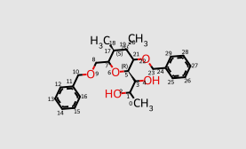 CC(O)C(O)[C@H]1OC(COCc2ccccc2)[C@@H](C)[C@H](C)C1OCc1ccccc1